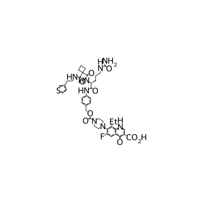 CCc1c(N2CCN(C(=O)OCc3ccc(NC(=O)[C@H](CCCNC(N)=O)NC(=O)C4(C(=O)NCCc5ccsc5)CCC4)cc3)CC2)c(F)cc2c(=O)c(C(=O)O)c[nH]c12